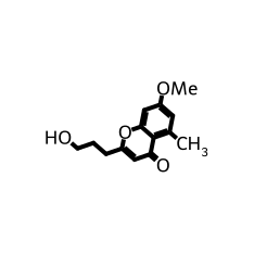 COc1cc(C)c2c(=O)cc(CCCO)oc2c1